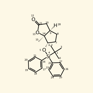 CC(C)(C)[Si](O[C@H]1CC[C@@H]2CC(=O)O[C@@]21C)(c1ccccc1)c1ccccc1